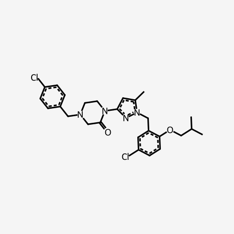 Cc1cc(N2CCN(Cc3ccc(Cl)cc3)CC2=O)nn1Cc1cc(Cl)ccc1OCC(C)C